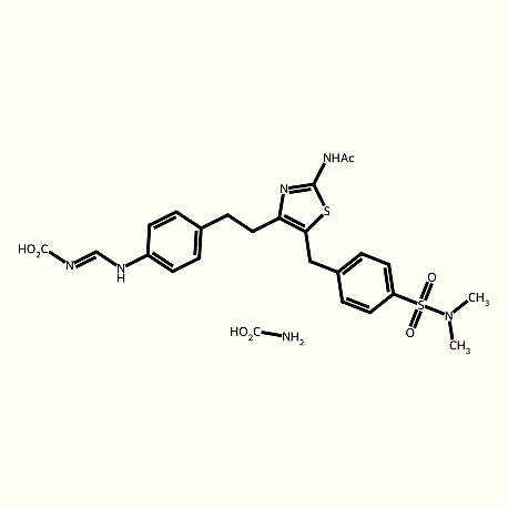 CC(=O)Nc1nc(CCc2ccc(NC=NC(=O)O)cc2)c(Cc2ccc(S(=O)(=O)N(C)C)cc2)s1.NC(=O)O